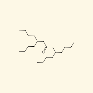 CCCCC(CCCC)CC(=O)CC(CCCC)CCCC